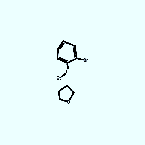 C1CCOC1.CCOc1ccccc1Br